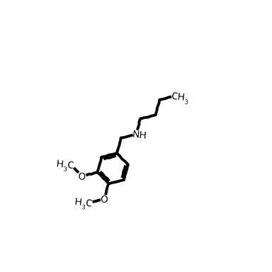 CCCCNCc1ccc(OC)c(OC)c1